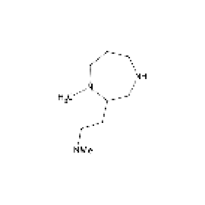 CNCCC1CNCCCN1C